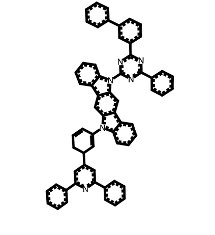 C1=CC(n2c3ccccc3c3cc4c(cc32)c2ccccc2n4-c2nc(-c3ccccc3)nc(-c3cccc(-c4ccccc4)c3)n2)=CC(c2cc(-c3ccccc3)nc(-c3ccccc3)c2)C1